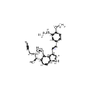 COc1ccc(/C=C/c2n[nH]c3ccc(C(=O)NCC#N)c(OC)c23)cc1OC